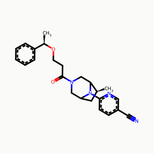 C[C@@H](OCCC(=O)N1CC2C[C@H](C)C(C1)N2c1ccc(C#N)cn1)c1ccccc1